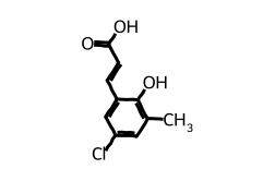 Cc1cc(Cl)cc(C=CC(=O)O)c1O